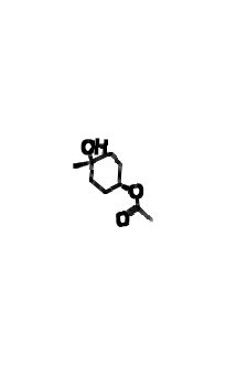 CC(=O)O[C@H]1CC[C@](C)(O)CC1